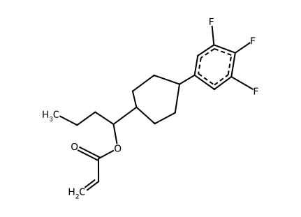 C=CC(=O)OC(CCC)C1CCC(c2cc(F)c(F)c(F)c2)CC1